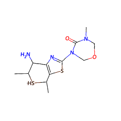 CC1[SH]C(C)C(N)c2nc(N3COCN(C)C3=O)sc21